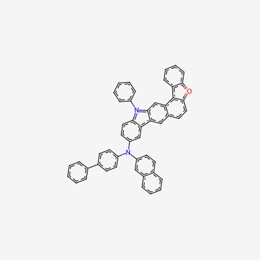 c1ccc(-c2ccc(N(c3ccc4ccccc4c3)c3ccc4c(c3)c3cc5ccc6oc7ccccc7c6c5cc3n4-c3ccccc3)cc2)cc1